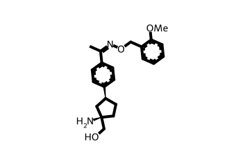 COc1ccccc1CON=C(C)c1ccc([C@H]2CC[C@](N)(CO)C2)cc1